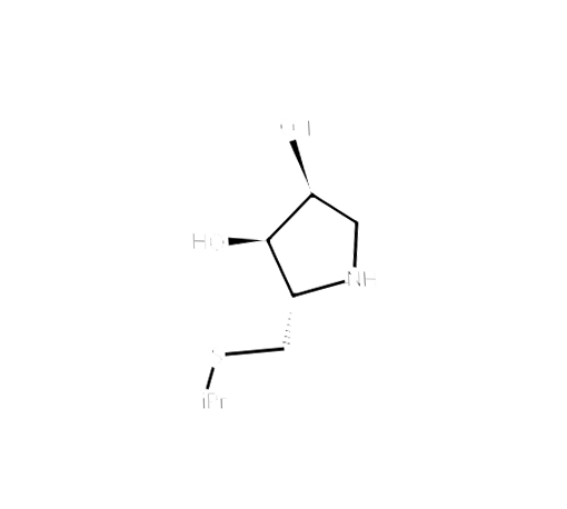 CC(C)SC[C@H]1NC[C@H](O)[C@@H]1O